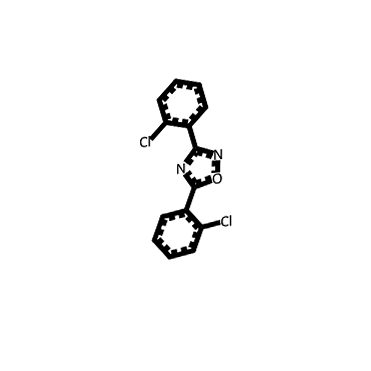 Clc1ccccc1-c1noc(-c2ccccc2Cl)n1